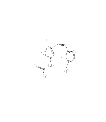 CC(C)C(=O)Nc1cc(/C=C\c2ncc(C(C)(C)C)o2)[nH]n1